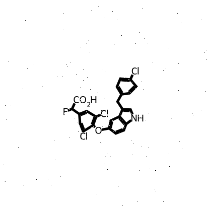 O=C(O)C(F)c1cc(Cl)c(Oc2ccc3[nH]cc(Cc4ccc(Cl)cc4)c3c2)c(Cl)c1